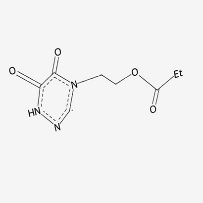 CCC(=O)OCCn1[c]n[nH]c(=O)c1=O